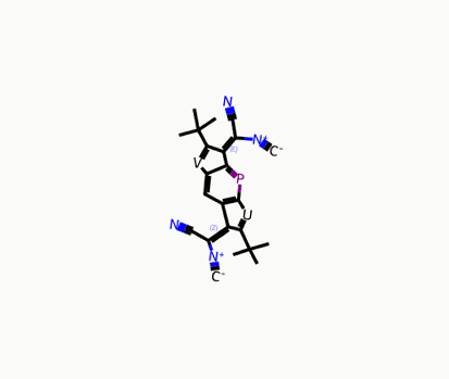 [C-]#[N+]/C(C#N)=C1\[C](C(C)(C)C)=[U][c]2pc3[c](cc21)[V]=[C](C(C)(C)C)/C3=C(\C#N)[N+]#[C-]